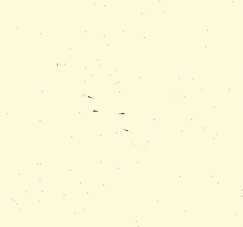 O=C(N[C@H]1CO[C@H]2[C@@H]1OC[C@@H]2n1cc(CC2CCCCC2)nn1)c1cc[nH]c1